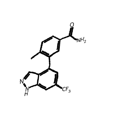 Cc1ccc(C(N)=O)cc1-c1cc(C(F)(F)F)cc2[nH]ncc12